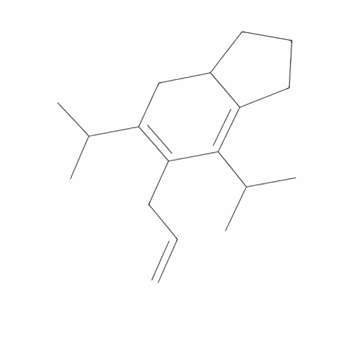 C=CCC1=C(C(C)C)CC2CCCC2=C1C(C)C